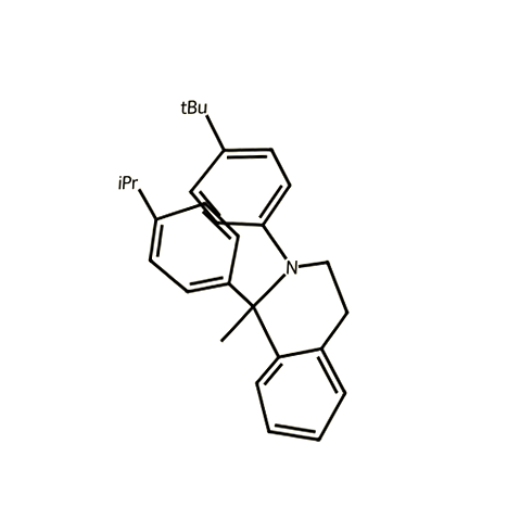 CC(C)c1ccc(C2(C)c3ccccc3CCN2c2ccc(C(C)(C)C)cc2)cc1